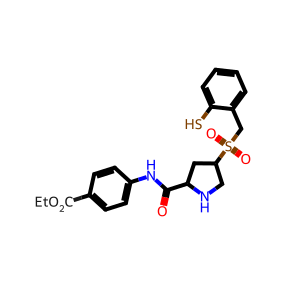 CCOC(=O)c1ccc(NC(=O)C2CC(S(=O)(=O)Cc3ccccc3S)CN2)cc1